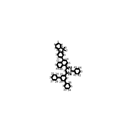 CC1(C)c2ccccc2-c2ccc(-c3ccc(-c4cc(-c5cc(-c6ccccc6)cc(-c6ccccc6)c5)nc(-c5ccccc5)n4)c4ccccc34)cc21